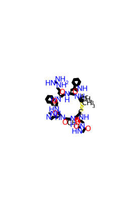 CC(=O)[C@H]1NC(=O)[C@H](Cc2c[nH]c3ccccc23)NC(=O)[C@H](CCCNC(=N)N)NC(=O)[C@@H](Cc2ccccc2)NC(=O)[C@H](Cc2cnc[nH]2)NC(=O)[C@@H](C)NC(=O)[C@@H](NC(=O)CN2C(=O)CNC2=O)CSSC1(C)C